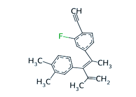 C#Cc1ccc(/C(C)=C(/C(=C)C)c2ccc(C)c(C)c2)cc1F